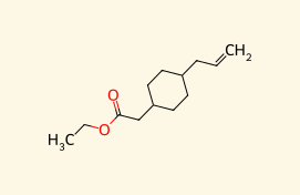 C=CCC1CCC(CC(=O)OCC)CC1